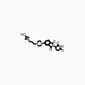 O=C1CCC(N2C(=O)c3ccc(N4CCN(CCCN5CC(O)C5)CC4)cc3C2=O)C(=O)N1